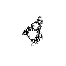 CO[C@H]1/C=C/C[C@H](C)[C@H](C(C)C)S(=O)(=O)NC(=O)c2ccc3c(c2)N(CCCCc2cc(Cl)ccc2CO3)C[C@@H]2CC[C@H]21